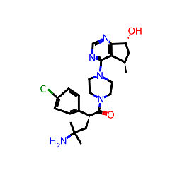 C[C@@H]1C[C@@H](O)c2ncnc(N3CCN(C(=O)[C@@H](CC(C)(C)N)c4ccc(Cl)cc4)CC3)c21